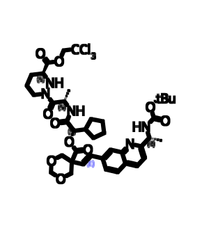 C[C@H](NC(=O)[C@@H](OC(=O)C1(/C=C/c2ccc3ccc([C@@H](C)NC(=O)OC(C)(C)C)nc3c2)COCOC1)C1CCCC1)C(=O)N1CCC[C@@H](C(=O)OCC(Cl)(Cl)Cl)N1